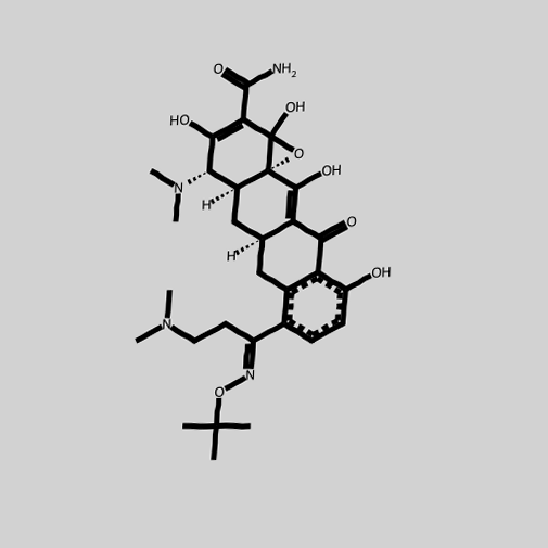 CN(C)CC/C(=N\OC(C)(C)C)c1ccc(O)c2c1C[C@H]1C[C@H]3[C@H](N(C)C)C(O)=C(C(N)=O)C4(O)O[C@]34C(O)=C1C2=O